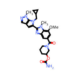 COc1cc(C(=O)N2CCCC(OC(N)=O)C2)cc2nc(-c3cc4cnn(C)c4n3CC3CC3)n(C)c12